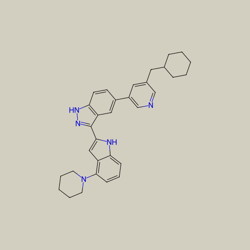 c1cc(N2CCCCC2)c2cc(-c3n[nH]c4ccc(-c5cncc(CC6CCCCC6)c5)cc34)[nH]c2c1